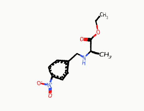 CCOC(=O)C(C)NCc1ccc([N+](=O)[O-])cc1